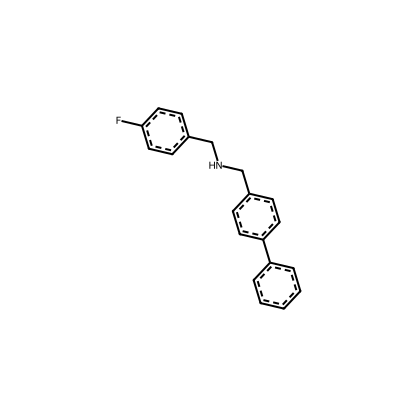 Fc1ccc(CNCc2ccc(-c3ccccc3)cc2)cc1